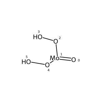 [O]=[Mo]([O]O)[O]O